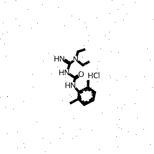 CCN(CC)C(=N)NC(=O)Nc1c(C)cccc1C.Cl